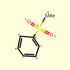 CSS(=O)(=O)c1ccccc1